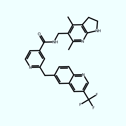 Cc1nc2c(c(C)c1CNC(=O)c1ccnc(Cc3ccc4ncc(C(F)(F)F)cc4c3)c1)CCN2